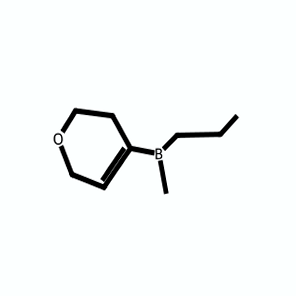 CCCB(C)C1=CCOCC1